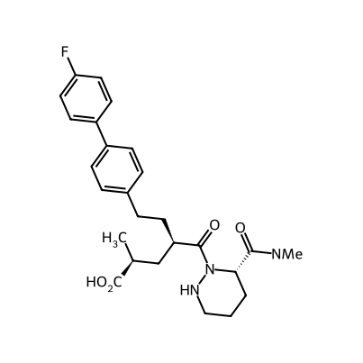 CNC(=O)[C@@H]1CCCNN1C(=O)[C@H](CCc1ccc(-c2ccc(F)cc2)cc1)C[C@H](C)C(=O)O